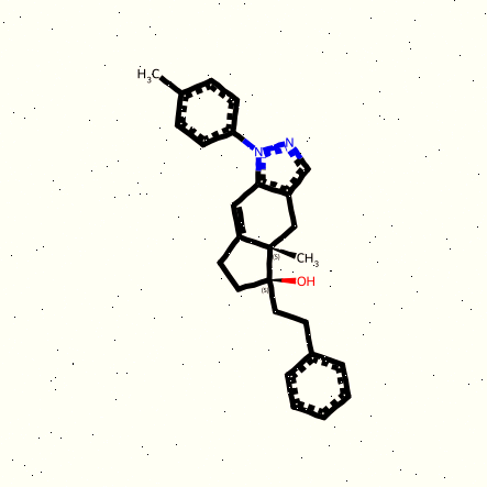 Cc1ccc(-n2ncc3c2C=C2CC[C@@](O)(CCc4ccccc4)[C@@]2(C)C3)cc1